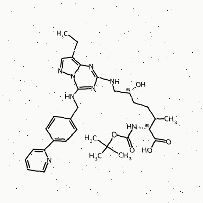 CCc1cnn2c(NCc3ccc(-c4ccccn4)cc3)nc(NC[C@H](O)CCC(C)[C@@H](NC(=O)OC(C)(C)C)C(=O)O)nc12